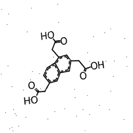 O=C(O)Cc1ccc2c(CC(=O)O)cc(CC(=O)O)cc2c1